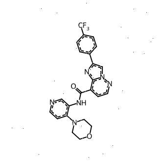 O=C(Nc1cnccc1N1CCOCC1)c1ccnn2cc(-c3ccc(C(F)(F)F)cc3)nc12